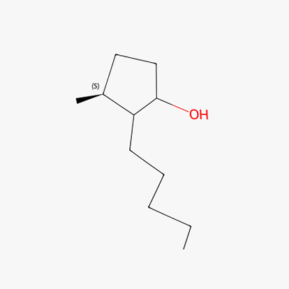 CCCCCC1C(O)CC[C@@H]1C